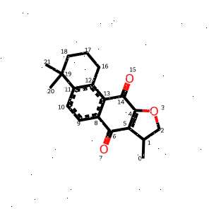 CC1COC2=C1C(=O)c1ccc3c(c1C2=O)CCCC3(C)C